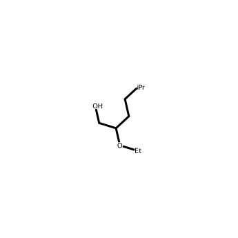 CCOC(CO)CCC(C)C